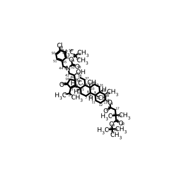 CC(C)C1=C2[C@H]3CC[C@@H]4[C@@]5(C)CC[C@H](OC(=O)CC(C)(C)C(=O)OC(C)(C)C)[C@H](C)[C@@H]5CC[C@@]4(C)[C@]3(C)CC[C@@]2([C@H](O)CN(Cc2ccc(Cl)cc2)C(=O)OC(C)(C)C)CC1=O